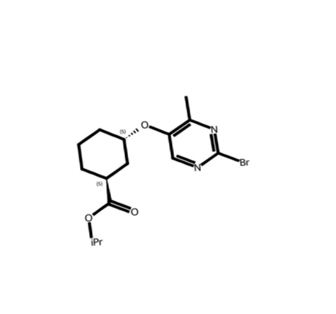 Cc1nc(Br)ncc1O[C@H]1CCC[C@H](C(=O)OC(C)C)C1